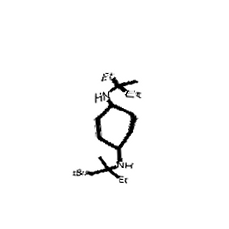 CCC(C)(CC)NC1CCC(NC(C)(CC)CC(C)(C)C)CC1